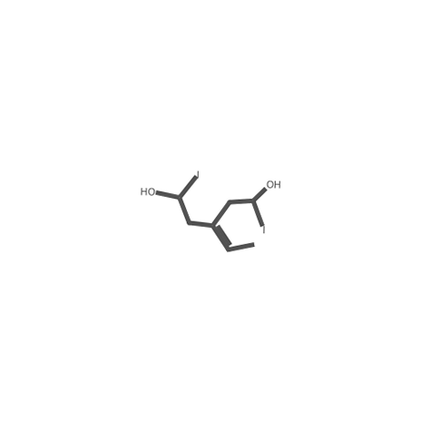 CC=C(CC(O)I)CC(O)I